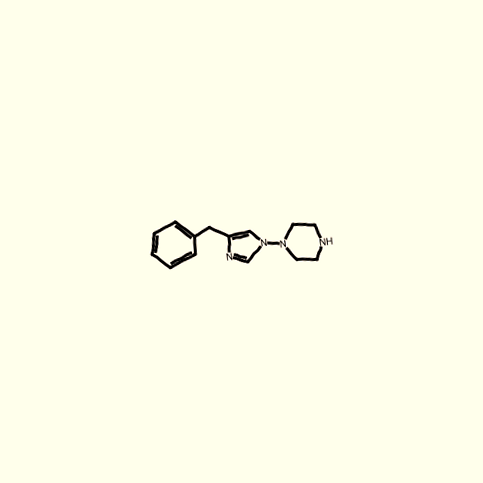 c1ccc(Cc2cn(N3CCNCC3)cn2)cc1